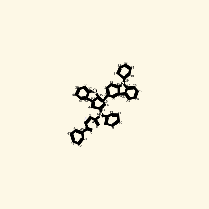 C=C(/C=C\C(=C)N(c1ccccc1)c1cc(-c2ccc3c(c2)c2ccccc2n3-c2ccccc2)c2oc3ccccc3c2c1)c1ccccc1